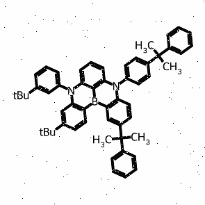 CC(C)(C)c1cccc(N2c3cc(C(C)(C)C)ccc3B3c4cc(C(C)(C)c5ccccc5)ccc4N(c4ccc(C(C)(C)c5ccccc5)cc4)c4cccc2c43)c1